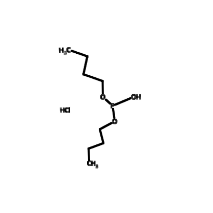 CCCCOP(O)OCCCC.Cl